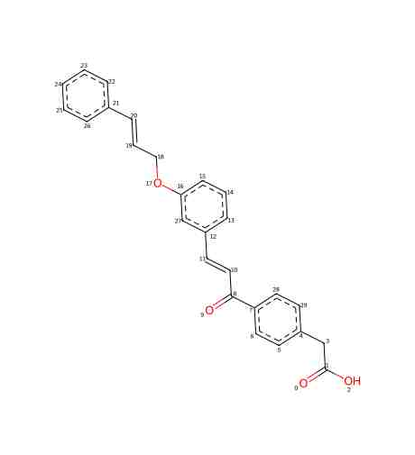 O=C(O)Cc1ccc(C(=O)C=Cc2cccc(OCC=Cc3ccccc3)c2)cc1